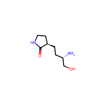 N[C@H](CO)CC[C@@H]1CCNC1=O